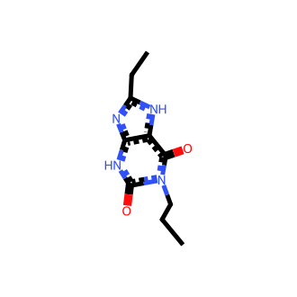 CCCn1c(=O)[nH]c2nc(CC)[nH]c2c1=O